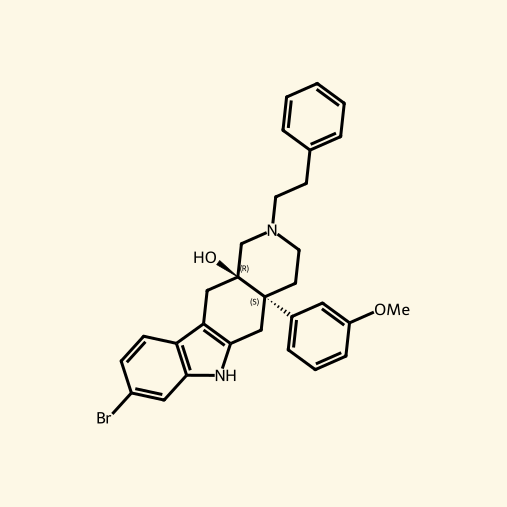 COc1cccc([C@@]23CCN(CCc4ccccc4)C[C@@]2(O)Cc2c([nH]c4cc(Br)ccc24)C3)c1